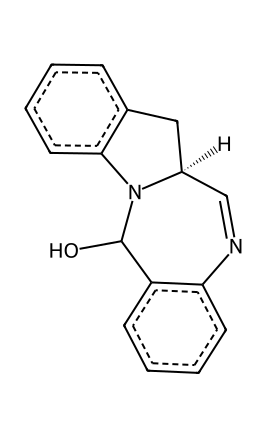 OC1c2ccccc2N=C[C@@H]2Cc3ccccc3N12